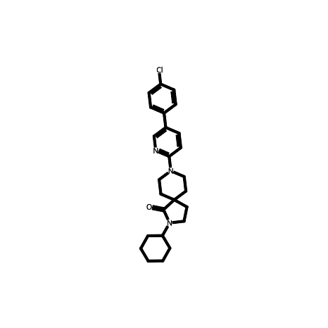 O=C1N(C2CCCCC2)CCC12CCN(c1ccc(-c3ccc(Cl)cc3)cn1)CC2